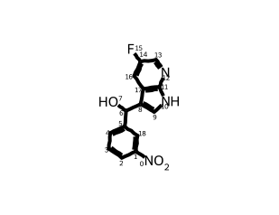 O=[N+]([O-])c1cccc(C(O)c2c[nH]c3ncc(F)cc23)c1